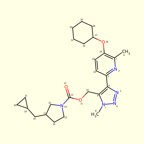 Cc1nc(-c2nnn(C)c2COC(=O)N2CCC(CC3CC3)C2)ccc1OC1CCCCC1